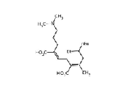 CCCCC(CC)CC(C)=C(CC=C(CCCN(C)C)C(=O)O)C(=O)O